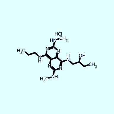 CCCNc1nc(NC)nc2c(NCC(O)CC)nc(NC)nc12.Cl